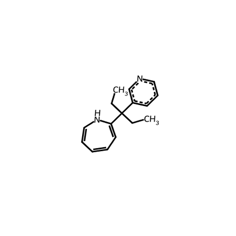 CCC(CC)(C1=CC=CC=CN1)c1cccnc1